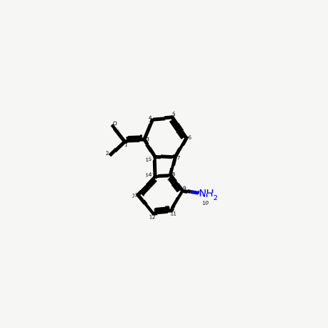 CC(C)=C1CC=CC2c3c(N)cccc3C12